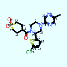 Cc1cnc(N2CCN(C(=O)C3CCS(=O)(=O)CC3)C(c3ccc(Cl)s3)C2)cn1